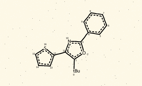 CC(C)(C)c1oc(-c2ccccc2)nc1-c1cccs1